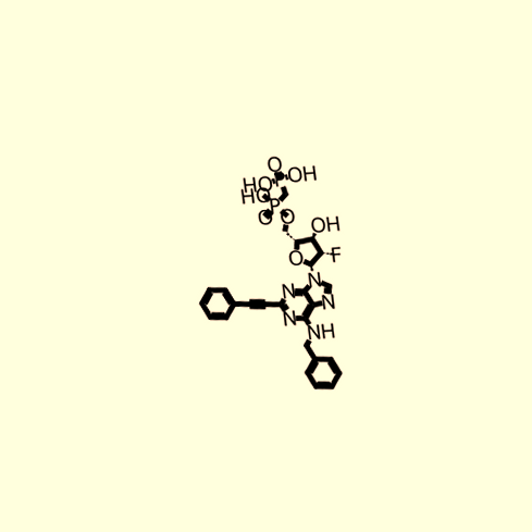 O=P(O)(O)CP(=O)(O)OC[C@H]1O[C@@H](n2cnc3c(NCc4ccccc4)nc(C#Cc4ccccc4)nc32)[C@@H](F)[C@@H]1O